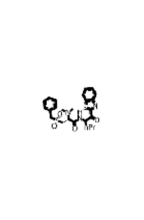 CCCC(NC(=O)[C@H](CS(=O)(=O)Cc1ccccc1)N(C)C)C(=O)c1nc2ccccc2s1